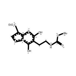 CCOC(=O)c1cnn2c(O)c(CCNC(=O)OC(C)(C)C)c(O)nc12